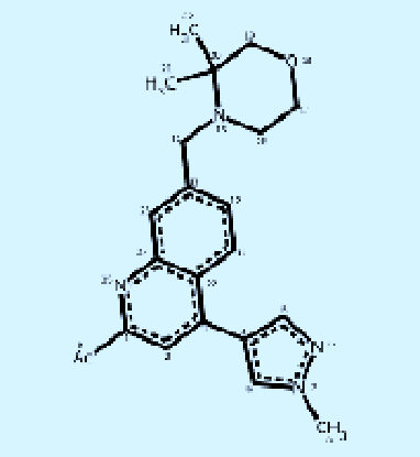 CC(=O)c1cc(-c2cnn(C)c2)c2ccc(CN3CCOCC3(C)C)cc2n1